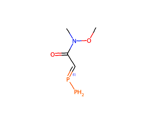 CON(C)C(=O)/C=P/P